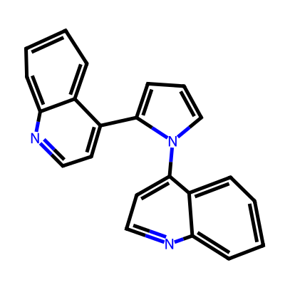 c1ccc2c(-c3cccn3-c3ccnc4ccccc34)ccnc2c1